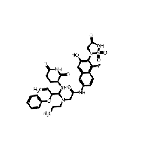 C=CC(Oc1ccccc1)C(NC1CCC(=O)NC1=O)N(CCC)CC(=O)Nc1ccc2c(F)c(N3CC(=O)NS3(=O)=O)c(O)cc2c1